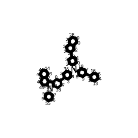 C1=C(c2ccc(N(c3ccc(-c4ccccc4)cc3)c3ccc(-c4ccc5ccccc5c4)cc3)cc2)CCc2c1c1c3ccccc3ccc1n2-c1ccccc1